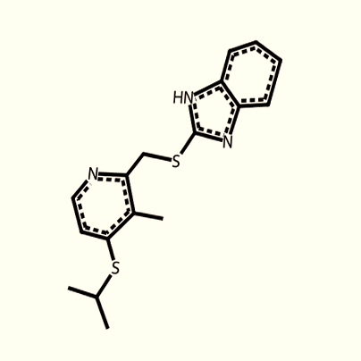 Cc1c(SC(C)C)ccnc1CSc1nc2ccccc2[nH]1